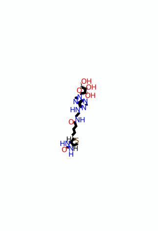 O=C(CCCC[C@@H]1SC[C@@H]2NC(=O)N[C@@H]21)NCCNc1ncnc2c1ncn2[C@@H]1O[C@H](CO)[C@@H](O)[C@H]1O